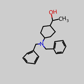 CC(O)C1CCC(N(Cc2ccccc2)Cc2ccccc2)CC1